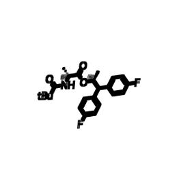 C[C@H](OC(=O)[C@@H](C)NC(=O)C(C)(C)C)C(c1ccc(F)cc1)c1ccc(F)cc1